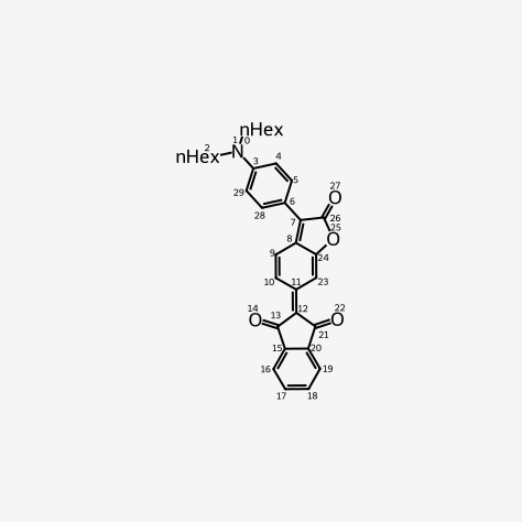 CCCCCCN(CCCCCC)c1ccc(C2=c3ccc(=C4C(=O)c5ccccc5C4=O)cc3OC2=O)cc1